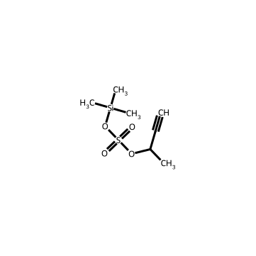 C#CC(C)OS(=O)(=O)O[Si](C)(C)C